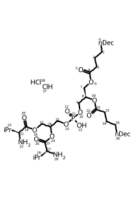 CCCCCCCCCCCCCC(=O)OC[C@H](COP(=O)(O)OCC(COC(=O)[C@@H](N)C(C)C)OC(=O)[C@@H](N)C(C)C)OC(=O)CCCCCCCCCCCCC.Cl.Cl